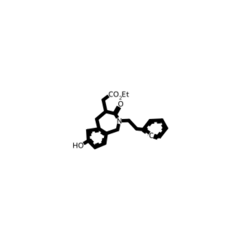 CCOC(=O)CC1Cc2cc(O)ccc2CN(CCc2ccccc2)C1=O